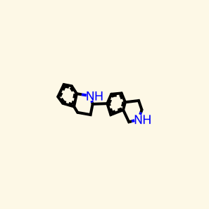 c1ccc2c(c1)CCC(c1ccc3c(c1)CNCC3)N2